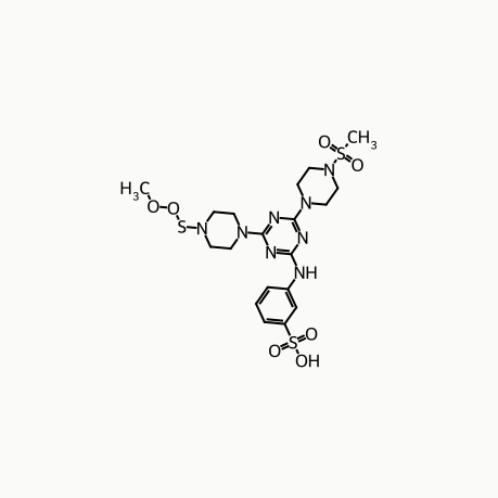 COOSN1CCN(c2nc(Nc3cccc(S(=O)(=O)O)c3)nc(N3CCN(S(C)(=O)=O)CC3)n2)CC1